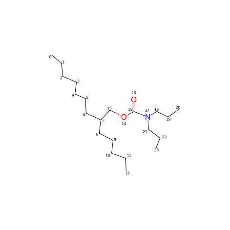 CCCCCCCC(CCCCC)COC(=O)N(CCC)CCC